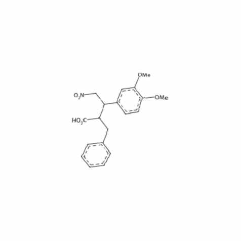 COc1ccc(C(C[N+](=O)[O-])C(Cc2ccccc2)C(=O)O)cc1OC